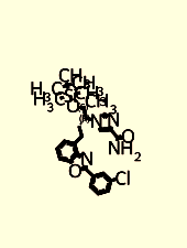 C[C@H](O[Si](C)(C)C(C)(C)C)[C@@H](CCc1cccc2oc(-c3cccc(Cl)c3)nc12)n1cnc(C(N)=O)c1